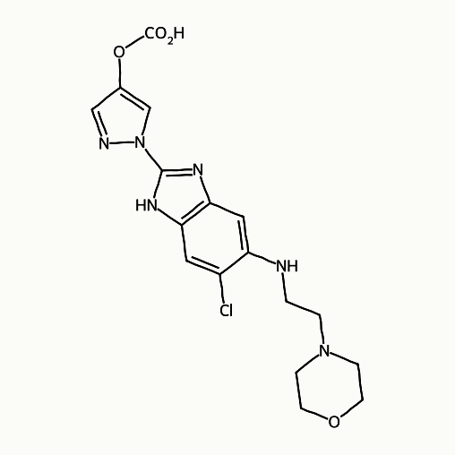 O=C(O)Oc1cnn(-c2nc3cc(NCCN4CCOCC4)c(Cl)cc3[nH]2)c1